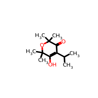 CC(C)C1=C(O)C(C)(C)OC(C)(C)C1=O